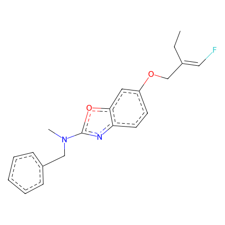 CC/C(=C\F)COc1ccc2nc(N(C)Cc3ccccc3)oc2c1